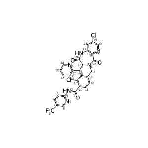 O=C(Nc1ccc(C(F)(F)F)cn1)c1ccc(CN2C(=O)c3ncc(Cl)cc3NC(=O)C2Cc2ccccn2)cc1Cl